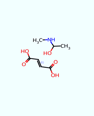 CNC(C)O.O=C(O)/C=C/C(=O)O